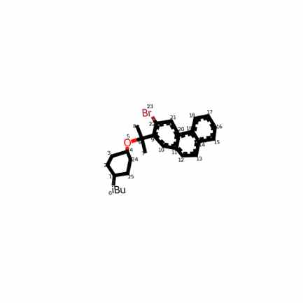 CCC(C)C1CCC(OC(C)(C)c2cc3ccc4ccccc4c3cc2Br)CC1